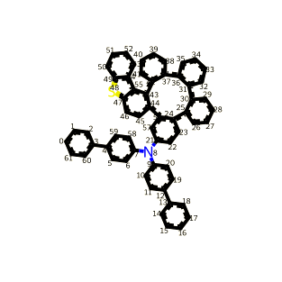 c1ccc(-c2ccc(N(c3ccc(-c4ccccc4)cc3)c3ccc4c5ccccc5c5ccccc5c5ccccc5c5c(ccc6sc7ccccc7c65)c4c3)cc2)cc1